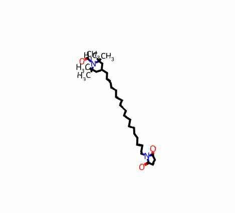 CC(=O)N1C(C)(C)CC(CCCCCCCCCCCCCCCCCCN2C(=O)CCC2=O)CC1(C)C